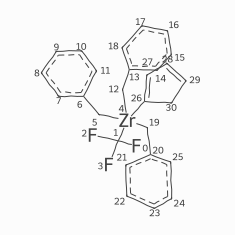 F[C](F)(F)[Zr]([CH2]c1ccccc1)([CH2]c1ccccc1)([CH2]c1ccccc1)[C]1=CC=CC1